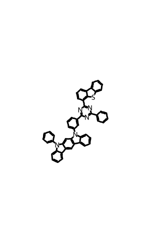 c1ccc(-c2nc(-c3cccc(-n4c5ccccc5c5cc6c7ccccc7n(-c7ccccc7)c6cc54)c3)nc(-c3cccc4c3sc3ccccc34)n2)cc1